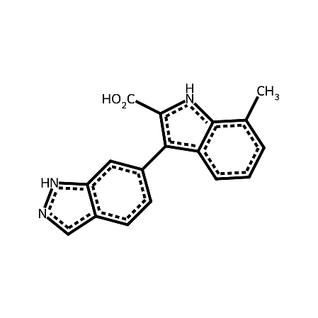 Cc1cccc2c(-c3ccc4cn[nH]c4c3)c(C(=O)O)[nH]c12